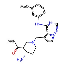 CNC(=O)C1CN(Cc2ccn3ncnc(Nc4cccc(OC)c4)c23)CC[C@@H]1N